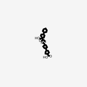 O=C(O)c1ccc(-c2ccc(-c3ncc(C4(C(=O)O)C=CC(c5ccccc5)=CC4)cn3)cc2)cc1